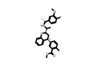 COC(=O)c1cc([C@@H]2C[C@H](C(C)N[C@H](C)c3ccc(F)c(OC)c3)Oc3ccccc32)ccc1C